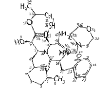 CC1CCCC(C[C@@H]([C@@H](O)C(=O)OC(C)C)N(C(=O)[C@H](Cc2ccccc2)NC(=O)N2CCOCC2)[C@@H](CS)C(N)=O)C1